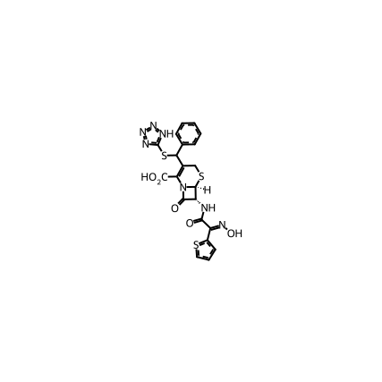 O=C(O)C1=C(C(Sc2nnn[nH]2)c2ccccc2)CS[C@H]2[C@H](NC(=O)C(=NO)c3cccs3)C(=O)N12